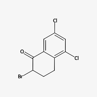 O=C1c2cc(Cl)cc(Cl)c2CCC1Br